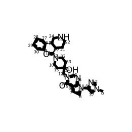 Cn1cnc(-n2ccc3c(=O)n(CC4(O)CCN(C(=O)[C@@H]5CCNC[C@H]5c5ccccc5)CC4)cnc32)c1